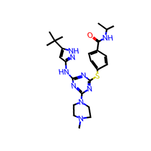 CC(C)NC(=O)c1ccc(Sc2nc(Nc3cc(C(C)(C)C)[nH]n3)nc(N3CCN(C)CC3)n2)cc1